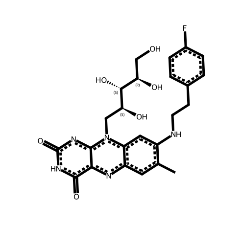 Cc1cc2nc3c(=O)[nH]c(=O)nc-3n(C[C@H](O)[C@H](O)[C@H](O)CO)c2cc1NCCc1ccc(F)cc1